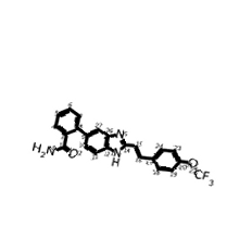 NC(=O)c1ccccc1-c1ccc2[nH]c(C=Cc3ccc(OC(F)(F)F)cc3)nc2c1